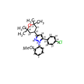 COc1ccccc1-n1nc(C2CC(C)(C)OC(C)(C)C2)cc1-c1ccc(Cl)cc1